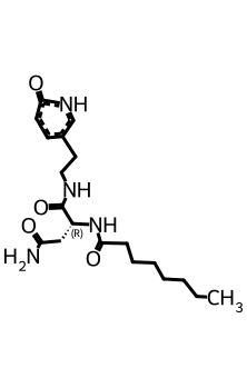 CCCCCCCC(=O)N[C@H](CC(N)=O)C(=O)NCCc1ccc(=O)[nH]c1